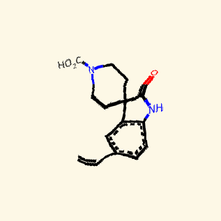 C=Cc1ccc2c(c1)C1(CCN(C(=O)O)CC1)C(=O)N2